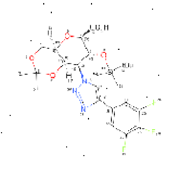 CC1(C)OC[C@H]2O[C@@H](C(=O)O)[C@H](O[Si](C)(C)C(C)(C)C)[C@@H](n3cc(-c4cc(F)c(F)c(F)c4)nn3)[C@H]2O1